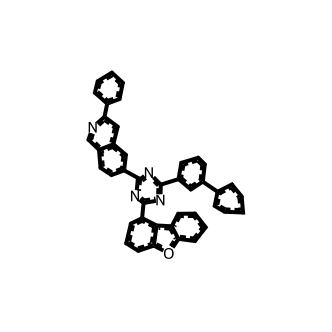 c1ccc(-c2cccc(-c3nc(-c4ccc5cnc(-c6ccccc6)cc5c4)nc(-c4cccc5oc6ccccc6c45)n3)c2)cc1